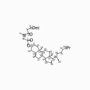 CCCCCCCCCCCC(=O)N(C)CC(=O)OC1CC[C@@]2(C)C(=CCC3C2CC[C@@]2(C)C3CC[C@@H]2[C@H](C)CCCC(C)C)C1